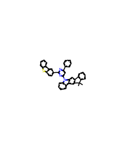 CC1(C)c2ccccc2-c2cc3c(cc21)c1ccccc1n3-c1cc(-c2ccccc2)nc(-c2ccc3sc4ccccc4c3c2)n1